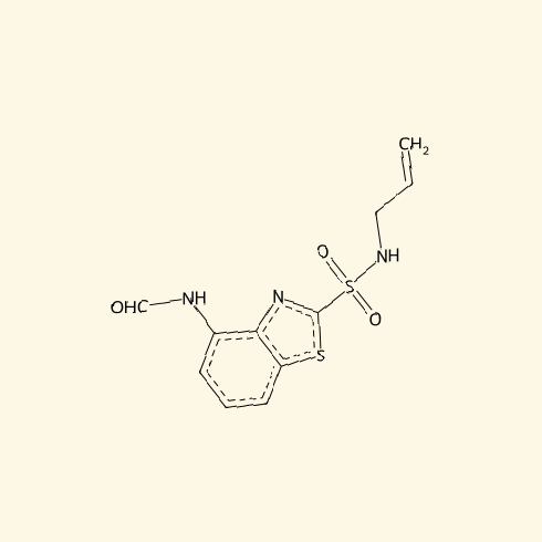 C=CCNS(=O)(=O)c1nc2c(NC=O)cccc2s1